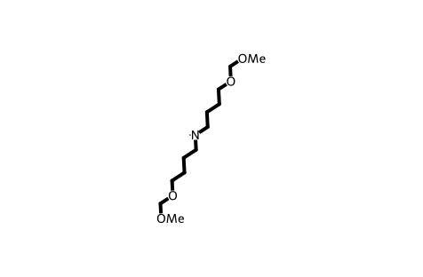 COCOCCCC[N]CCCCOCOC